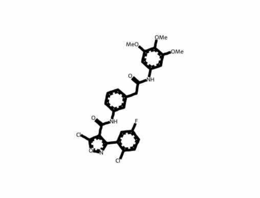 COc1cc(NC(=O)Cc2cccc(NC(=O)c3c(-c4cc(F)ccc4Cl)noc3Cl)c2)cc(OC)c1OC